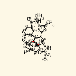 CCNC(=O)Nc1cc(-c2nc(C(F)(F)F)cs2)c(-c2cc(C(=O)NN)cnc2O[C@@H]2C[C@H]3CC[C@@H](C2)N3C)cn1